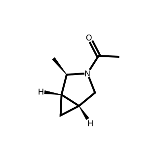 CC(=O)N1C[C@@H]2C[C@@H]2[C@H]1C